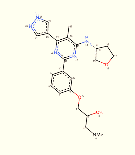 CNCC(O)COc1cccc(-c2nc(N[C@@H]3CCOC3)c(C)c(-c3cn[nH]c3)n2)c1